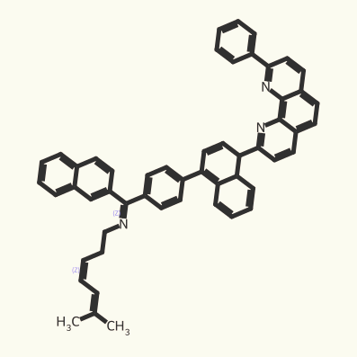 CC(C)=C/C=C\CC/N=C(/c1ccc(C2=C3C=CC=CC3C(c3ccc4ccc5ccc(-c6ccccc6)nc5c4n3)C=C2)cc1)c1ccc2ccccc2c1